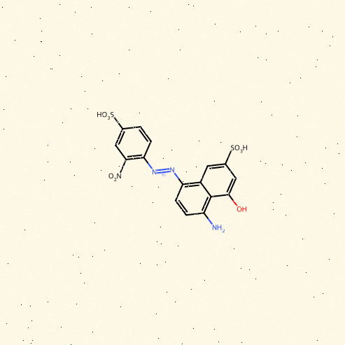 Nc1ccc(/N=N/c2ccc(S(=O)(=O)O)cc2[N+](=O)[O-])c2cc(S(=O)(=O)O)cc(O)c12